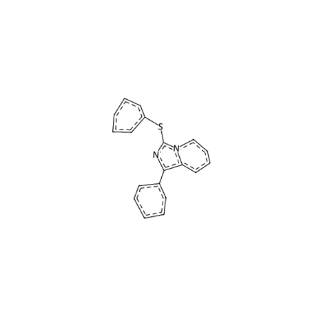 c1ccc(Sc2nc(-c3ccccc3)c3ccccn23)cc1